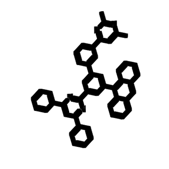 Cc1cc(-c2cccc(-c3cc(-c4nc(-c5ccccc5)cc(-c5ccccc5)n4)cc(-c4c5ccccc5cc5ccccc45)c3)c2)nc(C)n1